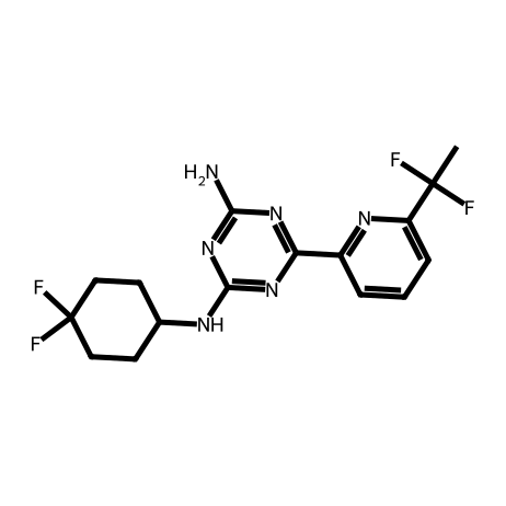 CC(F)(F)c1cccc(-c2nc(N)nc(NC3CCC(F)(F)CC3)n2)n1